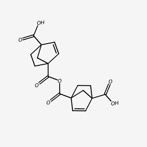 O=C(O)C12C=CC(C(=O)OC(=O)C34C=CC(C(=O)O)(CC3)C4)(CC1)C2